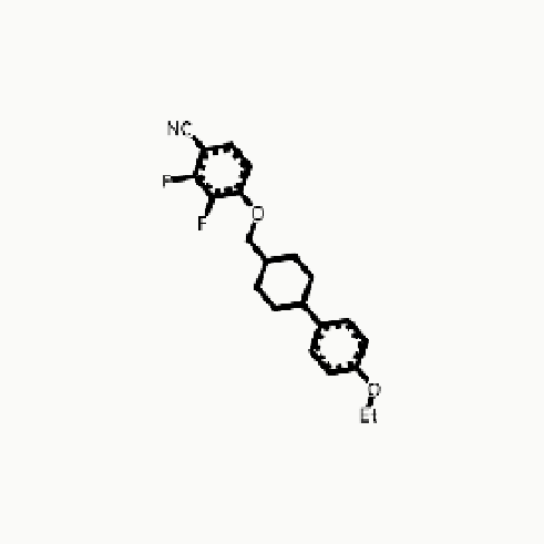 CCOc1ccc(C2CCC(COc3ccc(C#N)c(F)c3F)CC2)cc1